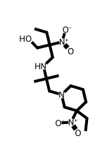 CCC(CO)(CNC(C)(C)CN1CCCC(CC)([N+](=O)[O-])C1)[N+](=O)[O-]